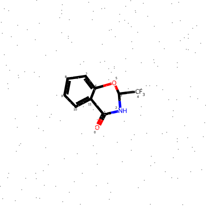 O=C1NC(C(F)(F)F)Oc2ccccc21